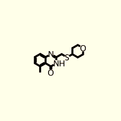 Cc1cccc2nc(CSC3CCOCC3)[nH]c(=O)c12